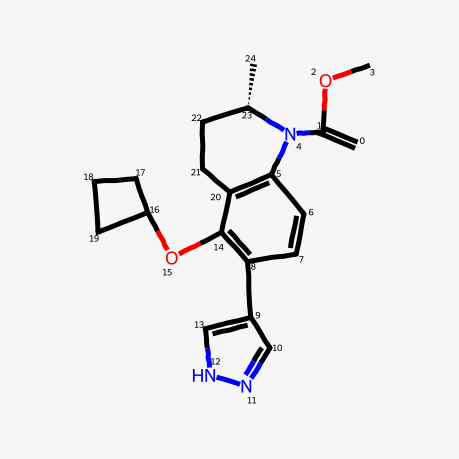 C=C(OC)N1c2ccc(-c3cn[nH]c3)c(OC3CCC3)c2CC[C@@H]1C